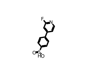 O=[SH](=O)c1ccc(-c2ccnc(F)c2)cc1